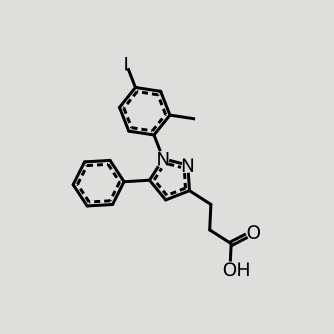 Cc1cc(I)ccc1-n1nc(CCC(=O)O)cc1-c1ccccc1